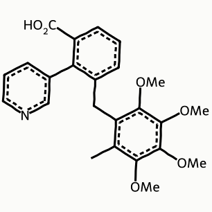 COc1c(C)c(Cc2cccc(C(=O)O)c2-c2cccnc2)c(OC)c(OC)c1OC